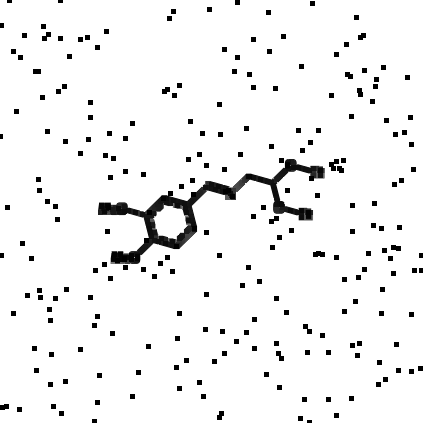 CCOC(CN=Cc1ccc(OC)c(OC)c1)OCC